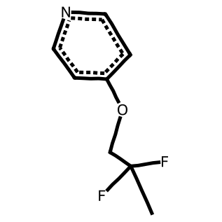 CC(F)(F)COc1ccncc1